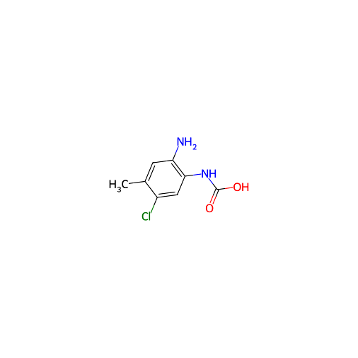 Cc1cc(N)c(NC(=O)O)cc1Cl